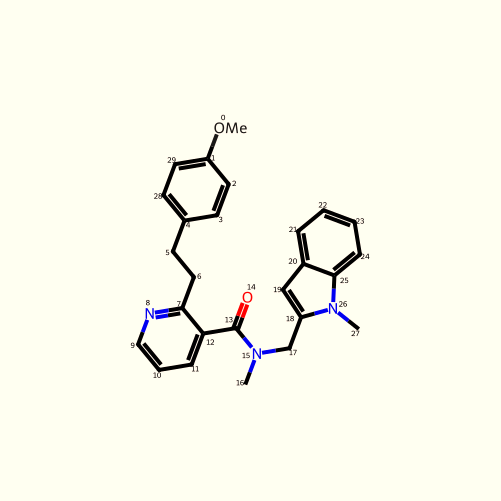 COc1ccc(CCc2ncccc2C(=O)N(C)Cc2cc3ccccc3n2C)cc1